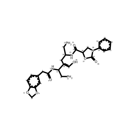 O=C(Cc1ccc2c(c1)OCO2)NC(CP)/C(=C/O)CC(CP)NC(=O)C1CN(c2ccccc2)C(=O)O1